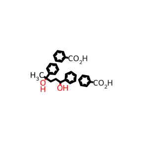 CC(O)(CCC(O)c1ccccc1)c1ccccc1.O=C(O)c1ccccc1.O=C(O)c1ccccc1